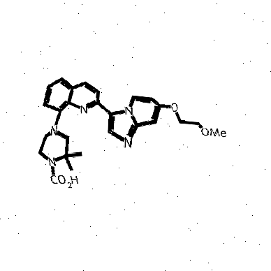 COCCOc1ccn2c(-c3ccc4cccc(N5CCN(C(=O)O)C(C)(C)C5)c4n3)cnc2c1